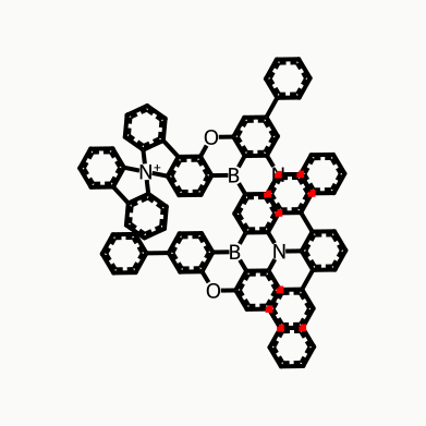 c1ccc(-c2ccc3c(c2)Oc2cc(-c4ccccc4)cc4c2B3c2cc3c(cc2N4c2c(-c4ccccc4)cccc2-c2ccccc2)N(c2ccccc2)c2cc(-c4ccccc4)cc4c2B3c2ccc3c(c2O4)-c2ccccc2[N+]32c3ccccc3-c3ccccc32)cc1